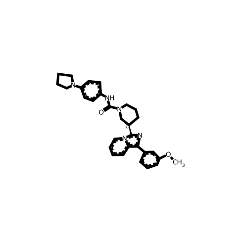 COc1cccc(-c2nc([C@@H]3CCCN(C(=O)Nc4ccc(N5CCCC5)cc4)C3)n3ccccc23)c1